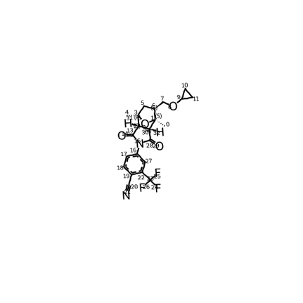 C[C@]12O[C@](C)(C[C@H]1COC1CC1)[C@H]1C(=O)N(c3ccc(C#N)c(C(F)(F)F)c3)C(=O)[C@H]12